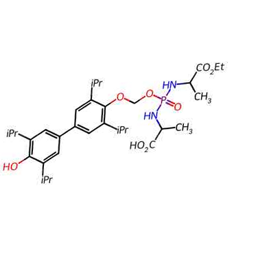 CCOC(=O)C(C)NP(=O)(NC(C)C(=O)O)OCOc1c(C(C)C)cc(-c2cc(C(C)C)c(O)c(C(C)C)c2)cc1C(C)C